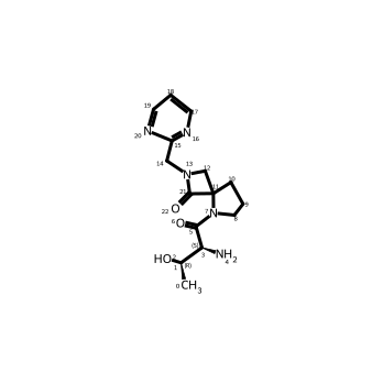 C[C@@H](O)[C@H](N)C(=O)N1CCCC12CN(Cc1ncccn1)C2=O